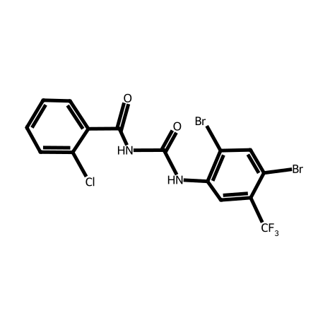 O=C(NC(=O)c1ccccc1Cl)Nc1cc(C(F)(F)F)c(Br)cc1Br